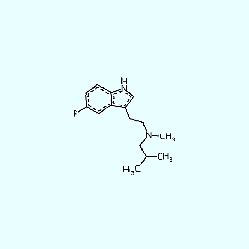 CC(C)CN(C)CCc1c[nH]c2ccc(F)cc12